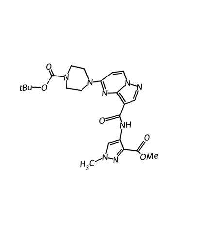 COC(=O)c1nn(C)cc1NC(=O)c1cnn2ccc(N3CCN(C(=O)OC(C)(C)C)CC3)nc12